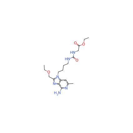 CCOCc1nc2c(N)nc(C)cc2n1CCCCNC(=O)NCC(=O)OCC